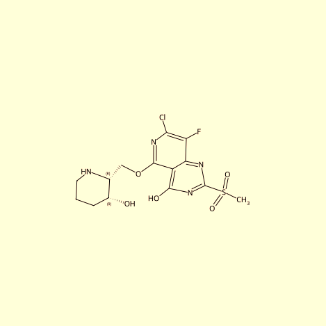 CS(=O)(=O)c1nc(O)c2c(OC[C@H]3NCCC[C@H]3O)nc(Cl)c(F)c2n1